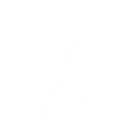 O/N=C1\CCc2cc(-c3cc(C4CCN(CCOc5ccc(Cl)cc5)CC4)oc3-c3ccncc3)ccc21